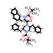 CC(C)(C)OC(=O)N[C@H](Cc1ccc2ccccc2c1)C(=O)N1C[C@H](Cc2ccccc2)N(C(=O)OC(C)(C)C)CC1Cc1ccccc1